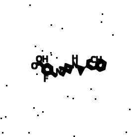 CC/C(=C\c1ccccc1)[C@@H]1C[C@H]1NC1CC2(C1)CN(Cc1ccc(C(=O)O)cc1F)C2